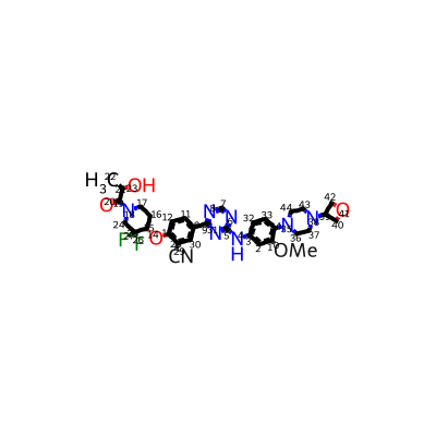 COc1cc(Nc2ncnc(-c3ccc(O[C@H]4CCN(C(=O)C(C)O)CC4(F)F)c(C#N)c3)n2)ccc1N1CCN(C2COC2)CC1